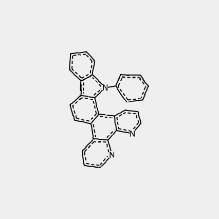 c1ccc(-n2c3ccccc3c3ccc4c5cccnc5c5ncccc5c4c32)cc1